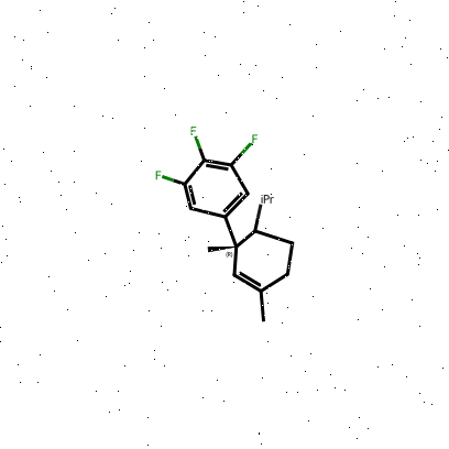 CC1=C[C@](C)(c2cc(F)c(F)c(F)c2)C(C(C)C)CC1